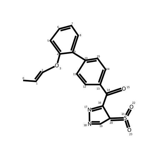 CC=COc1ccccc1-c1ccc(C(=O)C2=NN=CC2=S(=O)=O)cc1